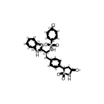 O=C1CC(c2ccc(C[C@H](NS(=O)(=O)c3ccc(Cl)cc3)c3nc4ccccc4[nH]3)cc2)S(=O)(=O)N1